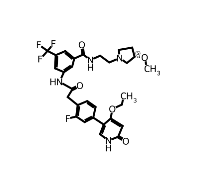 CCOc1cc(=O)[nH]cc1-c1ccc(CC(=O)Nc2cc(C(=O)NCCN3CC[C@H](OC)C3)cc(C(F)(F)F)c2)c(F)c1